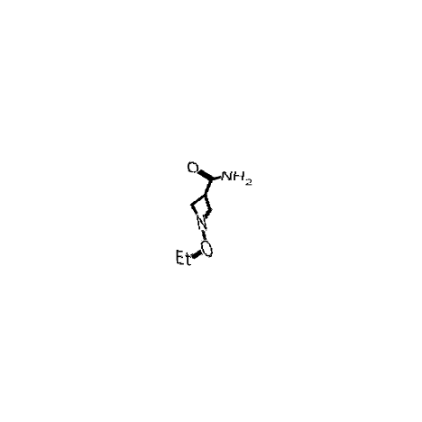 CCON1CC(C(N)=O)C1